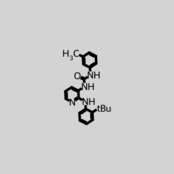 Cc1cccc(NC(=O)Nc2cccnc2Nc2ccccc2C(C)(C)C)c1